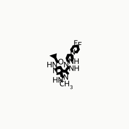 CNc1ncc(C(=N)/N=c2/ccc(N3CCC(F)(F)CC3)c[nH]2)c2cc(NC(=O)C3CC3)ncc12